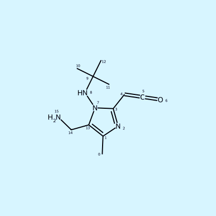 Cc1nc(C=C=O)n(NC(C)(C)C)c1CN